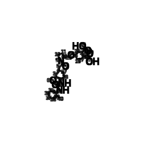 COc1cc(CC(=O)N2CCC[C@H]2COc2ccc(C(=O)O)c(C(=O)O)c2)ccc1NC(=O)Nc1ccccc1C